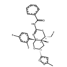 Cc1cc([C@H]2C[C@H]3[C@@H](CF)SC(NC(=O)c4ccccc4)=N[C@@]3(c3ccc(F)cc3F)CO2)on1